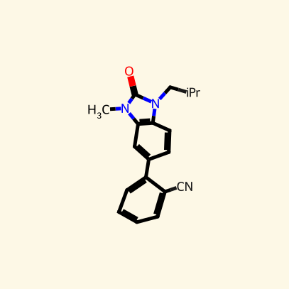 CC(C)Cn1c(=O)n(C)c2cc(-c3ccccc3C#N)ccc21